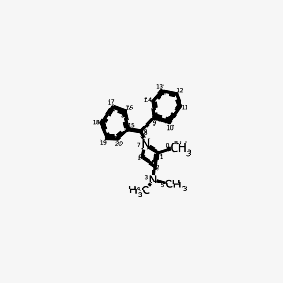 CC1=C(N(C)C)CN1C(c1ccccc1)c1ccccc1